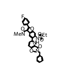 CCS(=O)(=O)Nc1cc2oc(-c3ccc(F)cc3)c(C(=O)NC)c2cc1-c1ccc2c(n1)C(=O)N(Cc1ccccc1)CO2